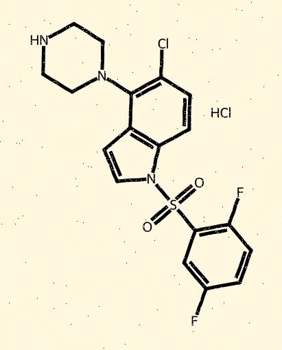 Cl.O=S(=O)(c1cc(F)ccc1F)n1ccc2c(N3CCNCC3)c(Cl)ccc21